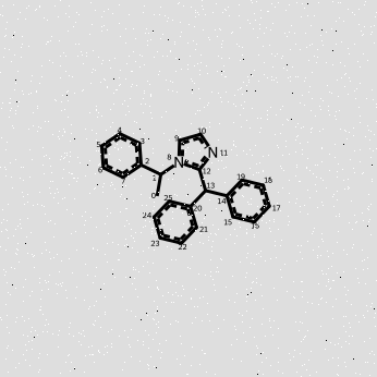 CC(c1ccccc1)n1ccnc1C(c1ccccc1)c1ccccc1